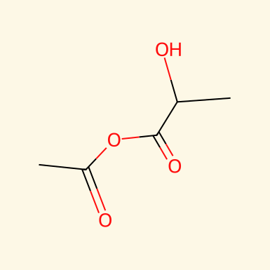 CC(=O)OC(=O)C(C)O